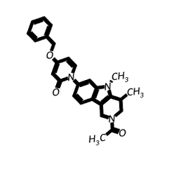 CC(=O)N1Cc2c(n(C)c3cc(-n4ccc(OCc5ccccc5)cc4=O)ccc23)C(C)C1